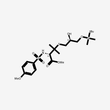 COC(=O)[C@H](NS(=O)(=O)c1ccc(OC)cc1)C(C)(C)SC[C@@H](O)CO[Si](C)(C)C(C)(C)C